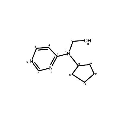 OCN(c1ccn[c]n1)C1CCCC1